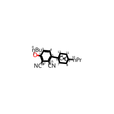 CCCCOc1ccc(C23CCC(CCC)(CC2)CC3)c(C#N)c1C#N